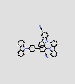 N#Cc1ccc2c(c1)c1ccccc1n2-c1cccc2c3ccccc3n(-c3ccc(-c4ccc(-n5c6ccccc6c6ccccc65)cc4)cc3C#N)c12